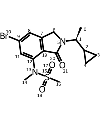 C[C@@H](C1CC1)N1Cc2cc(Br)cc(N(C)S(C)(=O)=O)c2C1=O